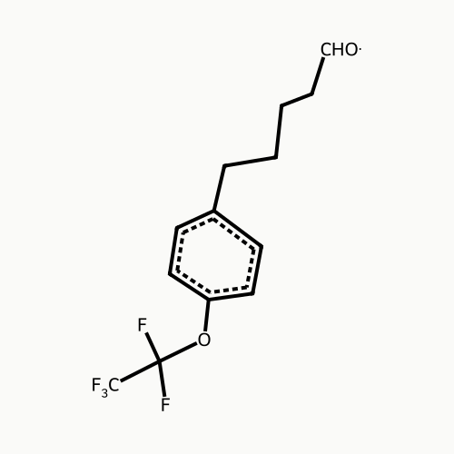 O=[C]CCCCc1ccc(OC(F)(F)C(F)(F)F)cc1